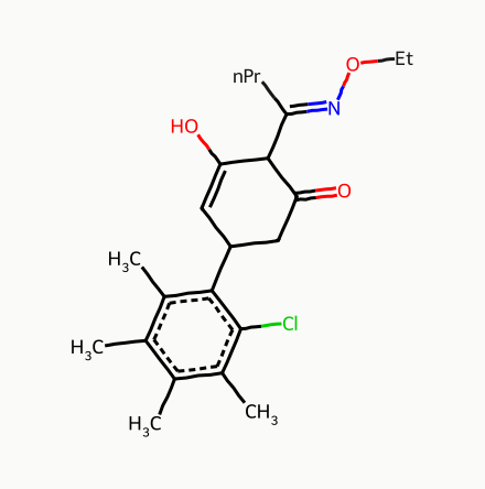 CCC/C(=N\OCC)C1C(=O)CC(c2c(C)c(C)c(C)c(C)c2Cl)C=C1O